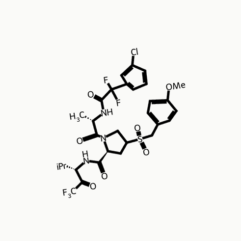 COc1ccc(CS(=O)(=O)C2C[C@@H](C(=O)N[C@H](C(=O)C(F)(F)F)C(C)C)N(C(=O)[C@H](C)NC(=O)C(F)(F)c3cccc(Cl)c3)C2)cc1